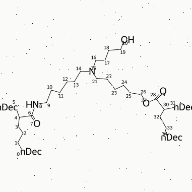 CCCCCCCCCCCCCC(CCCCCCCCCC)C(=O)NCCCCCCN(CCCCO)CCCCCCOC(=O)C(CCCCCCCCCC)CCCCCCCCCCCC